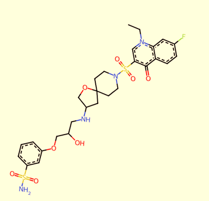 CCn1cc(S(=O)(=O)N2CCC3(CC2)CC(NCC(O)COc2cccc(S(N)(=O)=O)c2)CO3)c(=O)c2ccc(F)cc21